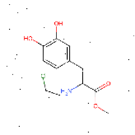 CCCl.COC(=O)C(N)Cc1ccc(O)c(O)c1